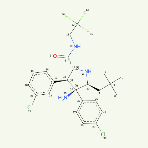 CC(C)(C)C[C@@H]1N[C@@H](C(=O)NCC(F)(F)F)[C@H](c2cccc(Cl)c2)[C@@]1(N)c1ccc(Cl)cc1